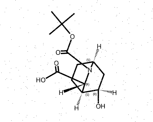 CC(C)(C)OC(=O)N1[C@H]2CC[C@H]([C@H](O)C2)[C@@H]1C(=O)O